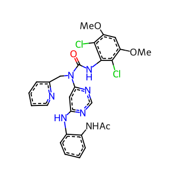 COc1cc(OC)c(Cl)c(NC(=O)N(Cc2ccccn2)c2cc(Nc3ccccc3NC(C)=O)ncn2)c1Cl